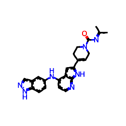 CC(C)=NC(=O)N1CC=C(c2cc3c(Nc4ccc5[nH]ncc5c4)ccnc3[nH]2)CC1